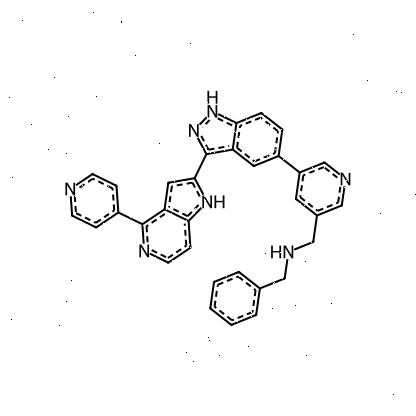 c1ccc(CNCc2cncc(-c3ccc4[nH]nc(-c5cc6c(-c7ccncc7)nccc6[nH]5)c4c3)c2)cc1